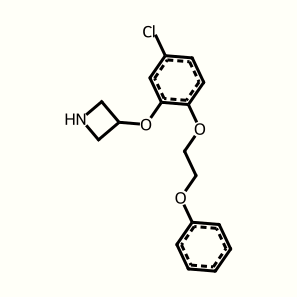 Clc1ccc(OCCOc2ccccc2)c(OC2CNC2)c1